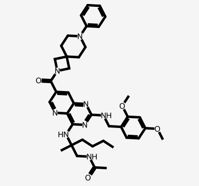 CCCCC(C)(CNC(C)=O)Nc1nc(NCc2ccc(OC)cc2OC)nc2cc(C(=O)N3CC4(CCN(c5ccccc5)CC4)C3)cnc12